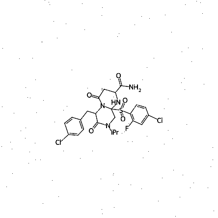 CC(C)N1CC2(S(=O)(=O)c3ccc(Cl)cc3F)NC(C(N)=O)[C]C(=O)N2C(Cc2ccc(Cl)cc2)C1=O